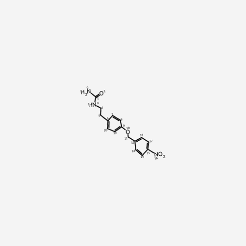 NC(=O)NCCc1ccc(OCc2ccc([N+](=O)[O-])cc2)cc1